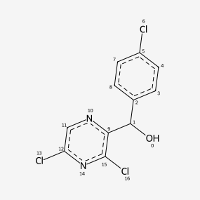 OC(c1ccc(Cl)cc1)c1ncc(Cl)nc1Cl